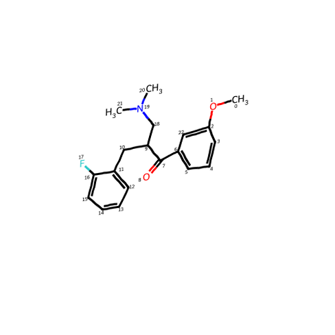 COc1cccc(C(=O)C(Cc2ccccc2F)CN(C)C)c1